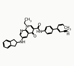 C#C/C=C(\C=C/C)c1ccc(NC(=O)c2cn(CC)c3ncc(NC4Cc5ccccc5C4)cc3c2=O)cc1